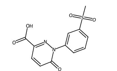 CS(=O)(=O)c1cccc(-n2nc(C(=O)O)ccc2=O)c1